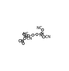 N#Cc1cccc(-c2cc(-c3ccc(-c4ccc(-c5cc(C#N)c(-n6c7ccccc7c7cc(-n8c9ccccc9c9ccccc98)ccc76)c(C#N)c5)cc4)cc3)nc(-c3cccc(C#N)c3)n2)c1